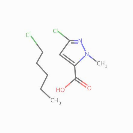 CCCCCCl.Cn1nc(Cl)cc1C(=O)O